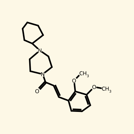 COc1cccc(C=CC(=O)N2CCN(C3CCCCC3)CC2)c1OC